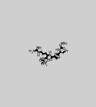 CC(C)C[C@H](NC(=O)OC(C)(C)C)c1nc(C(=O)NC(CCCNC(=N)N)C(=O)NS(C)(=O)=O)co1